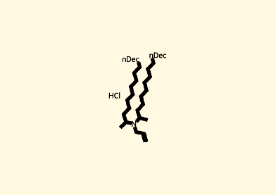 C=CCN(C(C)CCCCCCCCCCCCCCCCCC)C(C)CCCCCCCCCCCCCCCCCC.Cl